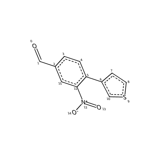 O=Cc1ccc(-c2ccsc2)c([N+](=O)[O-])c1